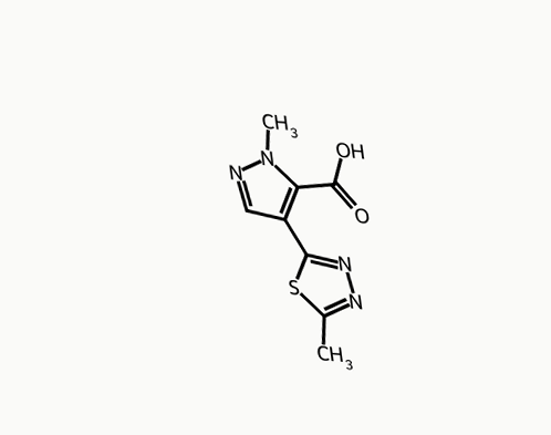 Cc1nnc(-c2cnn(C)c2C(=O)O)s1